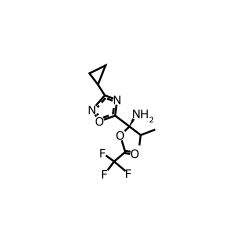 CC(C)[C@](N)(OC(=O)C(F)(F)F)c1nc(C2CC2)no1